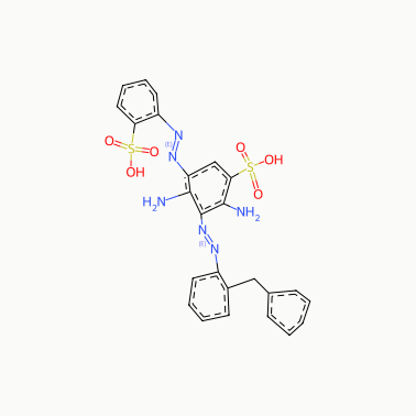 Nc1c(/N=N/c2ccccc2S(=O)(=O)O)cc(S(=O)(=O)O)c(N)c1/N=N/c1ccccc1Cc1ccccc1